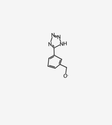 [O]Cc1cccc(-c2nnn[nH]2)c1